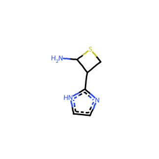 NC1SCC1c1ncc[nH]1